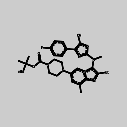 CCCCC(C)(C)OC(=O)N1CCN(c2cc(C)c3nc(CC)c(N(C)c4nc(-c5ccc(F)cc5)c(C#N)s4)n3c2)CC1